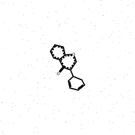 O=c1c(C2C=CC=CC2)coc2ccccc12